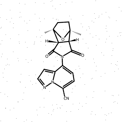 C[C@]12CC[C@](C)(O1)[C@@H]1C(=O)N(c3ccc(C#N)n4nccc34)C(=O)[C@@H]12